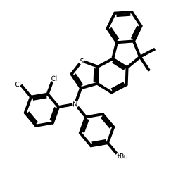 CC(C)(C)c1ccc(N(c2cccc(Cl)c2Cl)c2csc3c4c(ccc23)C(C)(C)c2ccccc2-4)cc1